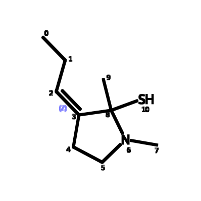 CC/C=C1/CCN(C)C1(C)S